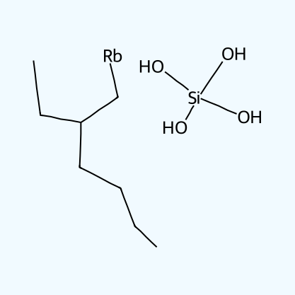 CCCCC(CC)[CH2][Rb].O[Si](O)(O)O